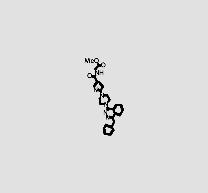 COC(=O)CNC(=O)c1ccc(N2CCN(c3nnc(Cc4ccccc4)c4ccccc34)CC2)nc1